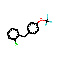 FC(F)(F)Oc1ccc(Cc2ccc[c]c2Cl)cc1